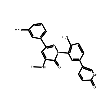 CCNc1cc(-c2cccc(OC)c2)nn(-c2cc(-c3ccc(=O)[nH]c3)ccc2[N+](=O)[O-])c1=O